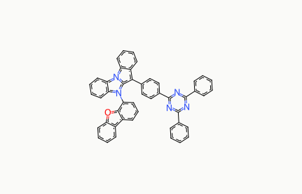 c1ccc(-c2nc(-c3ccccc3)nc(-c3ccc(-c4c5ccccc5n5c6ccccc6n(-c6cccc7c6oc6ccccc67)c45)cc3)n2)cc1